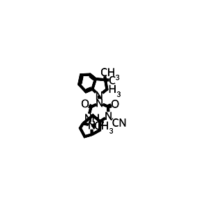 CN1C2CCC1CC(N(C#N)C(=O)N(C(N)=O)N1CC(C)(C)c3ccccc31)C2